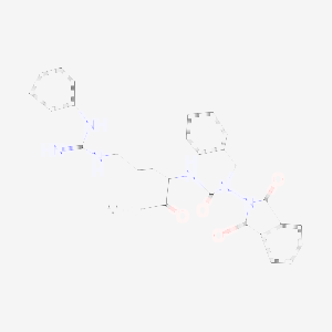 COC(=O)C(CCCNC(=N)Nc1ccccc1)NC(=O)N(Cc1ccccc1)N1C(=O)c2ccccc2C1=O